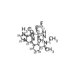 CCN(C(=O)NC(CC(F)F)C(F)(F)F)C(C)c1cccc(-c2cn3ccnc3c(OC)n2)c1